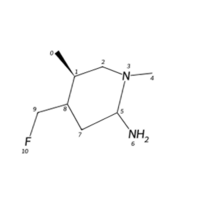 C[C@H]1CN(C)C(N)CC1CF